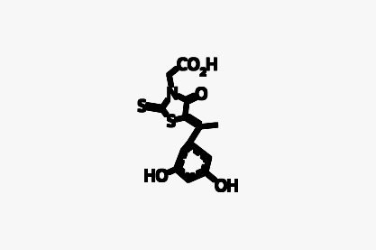 CC(=C1SC(=S)N(CC(=O)O)C1=O)c1cc(O)cc(O)c1